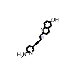 Nc1ccc(C#C/C=C/c2ccc3cc(O)ccc3n2)cn1